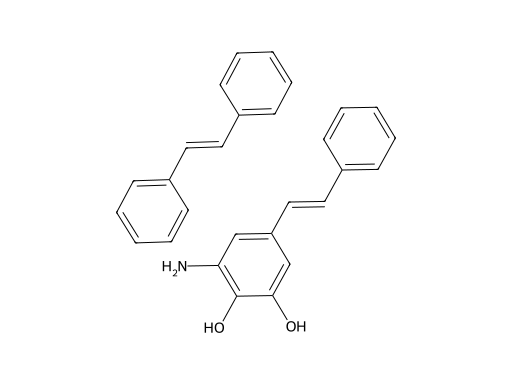 C(=Cc1ccccc1)c1ccccc1.Nc1cc(C=Cc2ccccc2)cc(O)c1O